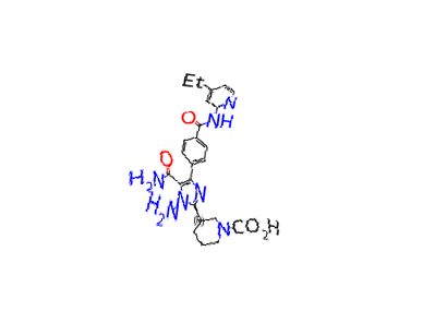 CCc1ccnc(NC(=O)c2ccc(-c3nc([C@@H]4CCCN(C(=O)O)C4)n(N)c3C(N)=O)cc2)c1